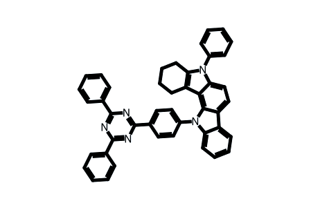 c1ccc(-c2nc(-c3ccccc3)nc(-c3ccc(-n4c5ccccc5c5ccc6c(c7c(n6-c6ccccc6)CCCC7)c54)cc3)n2)cc1